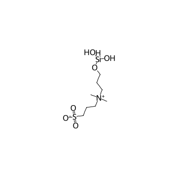 C[N+](C)(CCCO[SiH](O)O)CCCS(=O)(=O)[O-]